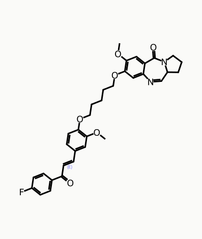 COc1cc(/C=C/C(=O)c2ccc(F)cc2)ccc1OCCCCCOc1cc2c(cc1OC)C(=O)N1CCCC1C=N2